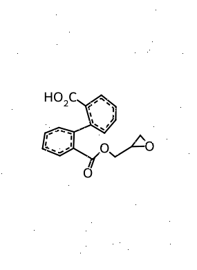 O=C(O)c1ccccc1-c1ccccc1C(=O)OCC1CO1